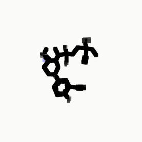 C#CC(O)(CC)CCC(F)(F)C(C)C1CN(c2ccc(F)c(C#N)c2)CC/C1=N/C